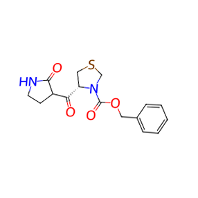 O=C1NCCC1C(=O)[C@@H]1CSCN1C(=O)OCc1ccccc1